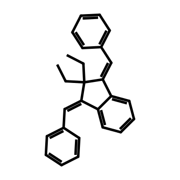 CCC1(CC)/C(=C/c2ccccc2)c2ccccc2/C1=C/c1ccccc1